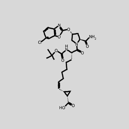 CC(C)(C)OC(=O)N[C@@H](CCCCC/C=C\[C@@H]1C[C@@H]1C(=O)O)C(=O)N1C[C@H](Oc2nc3ccc(Cl)cc3o2)C[C@H]1C(N)=O